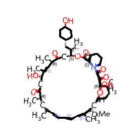 CO[C@H]1C[C@@H]2CC[C@@H](C)[C@@](O)(O2)C(=O)C(=O)N2CCCC[C@H]2C(=O)O[C@H]([C@H](C)C[C@H]2CC[C@H](O)CC2)CC(=O)[C@H](C)/C=C(\C)[C@@H](O)CC(=O)[C@H](C)C[C@H](C)/C=C/C=C/C=C/1C